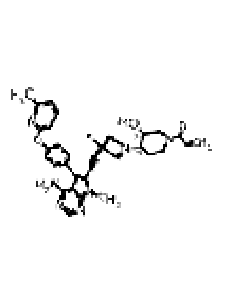 C=CC(=O)N1CC[C@H](N2CC(F)(C#Cc3c(-c4ccc(Oc5cccc(C)n5)cc4)c4c(N)ncnc4n3C)C2)[C@@H](O)C1